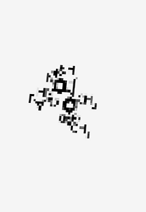 CCS(=O)(=O)c1ccc(Nc2cc(NC(=O)[C@H]3C[C@H]3F)c3ncn(C)c3c2)c(C)c1